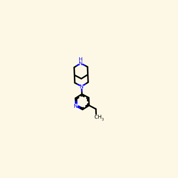 CCc1cncc(N2CC3CNCC(C3)C2)c1